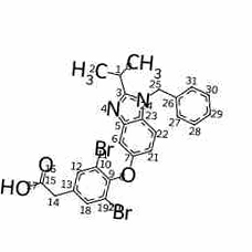 CC(C)c1nc2cc(Oc3c(Br)cc(CC(=O)O)cc3Br)ccc2n1Cc1ccccc1